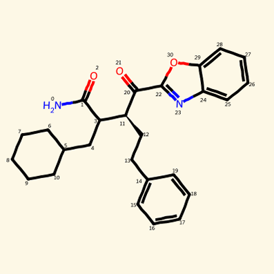 NC(=O)C(CC1CCCCC1)[C@H](CCc1ccccc1)C(=O)c1nc2ccccc2o1